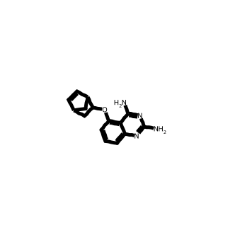 Nc1nc(N)c2c(OC3CC4C=CC3C4)cccc2n1